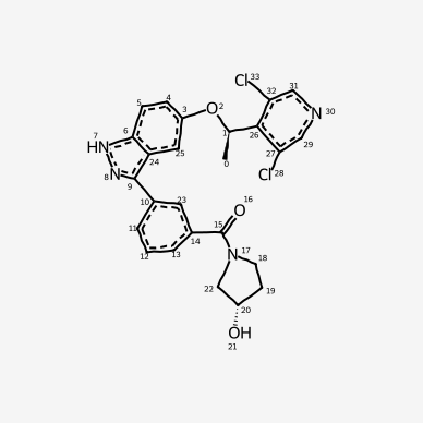 C[C@@H](Oc1ccc2[nH]nc(-c3cccc(C(=O)N4CC[C@H](O)C4)c3)c2c1)c1c(Cl)cncc1Cl